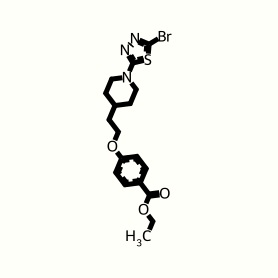 CCOC(=O)c1ccc(OCCC2CCN(c3nnc(Br)s3)CC2)cc1